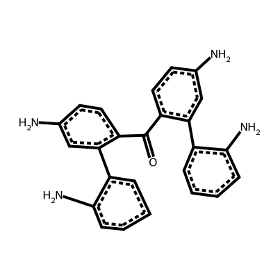 Nc1ccc(C(=O)c2ccc(N)cc2-c2ccccc2N)c(-c2ccccc2N)c1